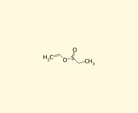 C=COS(=O)CC